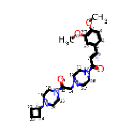 COc1ccc(/C=C/C(=O)N2CCN(CC(=O)N3CCN(C4CCC4)CC3)CC2)cc1OC